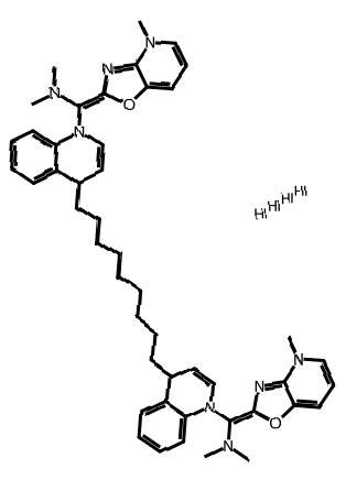 CN(C)C(=c1nc2c(o1)=CC=CN2C)N1C=CC(CCCCCCCCCC2C=CN(C(=c3nc4c(o3)=CC=CN4C)N(C)C)c3ccccc32)c2ccccc21.I.I.I.I